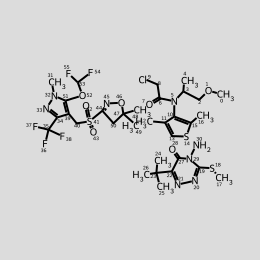 COCC(C)N(C(=O)CCl)c1c(C)csc1C.CSc1nnc(C(C)(C)C)c(=O)n1N.Cn1nc(C(F)(F)F)c(CS(=O)(=O)C2=NOC(C)(C)C2)c1OC(F)F